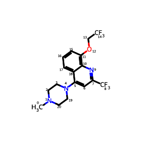 CN1CCN(c2cc(C(F)(F)F)nc3c(OCC(F)(F)F)cccc23)CC1